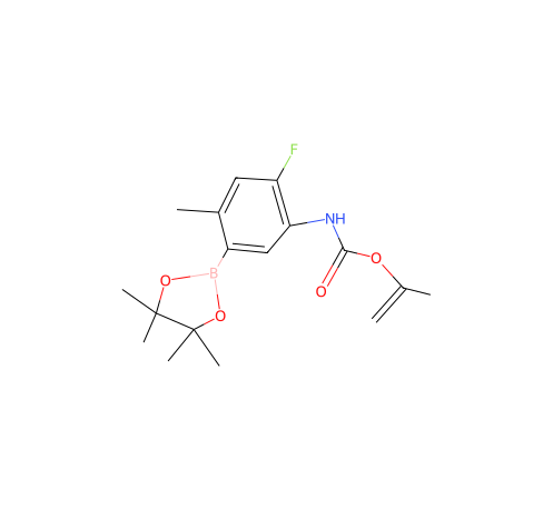 C=C(C)OC(=O)Nc1cc(B2OC(C)(C)C(C)(C)O2)c(C)cc1F